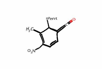 CCCCCC1C(=C=O)C=CC([N+](=O)[O-])=C1C